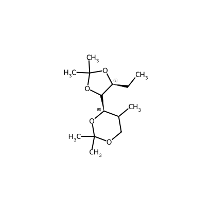 CC[C@@H]1OC(C)(C)OC1[C@@H]1OC(C)(C)OCC1C